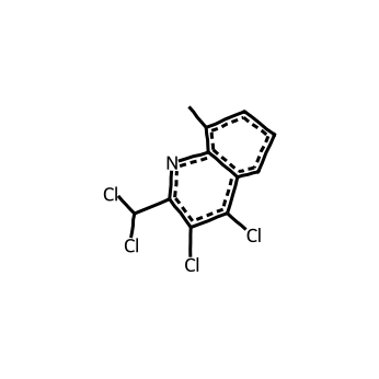 Cc1cccc2c(Cl)c(Cl)c(C(Cl)Cl)nc12